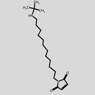 CC(C)(C)NCCCCCCCCCCCCN1C(=O)C=CC1=O